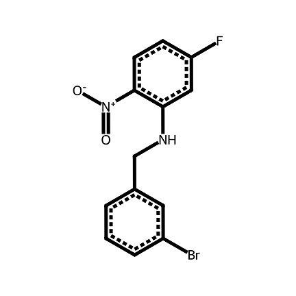 O=[N+]([O-])c1ccc(F)cc1NCc1cccc(Br)c1